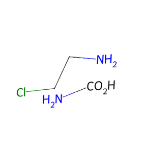 NC(=O)O.NCCCl